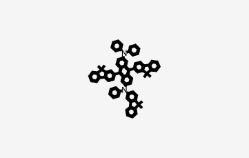 CC1(C)c2ccccc2-c2cc(N(c3ccccc3)c3ccc4c(-c5ccc6c(c5)C(C)(C)c5ccccc5-6)c5cc(N(c6ccccc6)c6ccccc6)ccc5c(-c5ccc6c(c5)C(C)(C)c5ccccc5-6)c4c3)ccc21